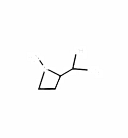 CC(C)C1CCN1N